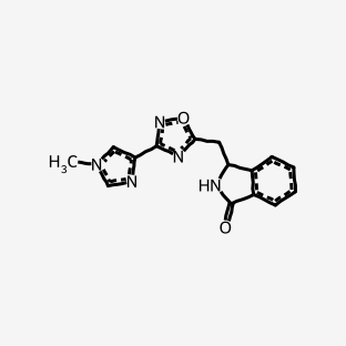 Cn1cnc(-c2noc(CC3NC(=O)c4ccccc43)n2)c1